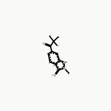 Cn1[nH]c2cc(C(=O)C(C)(C)C)ccc2c1=O